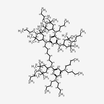 CCCCN(CCCC)c1nc(N(CCCC)CCCC)nc(N(CCCCCCN(c2nc(N(C)C3CC(C)(C)N(OCCC)C(C)(C)C3)nc(N(CCCC)C3CC(C)(C)N(OCCC)C(C)(C)C3)n2)C2CC(C)(C)N(OCCC)C(C)(C)C2)C2CC(C)(C)N(OCCC)C(C)(C)C2)n1